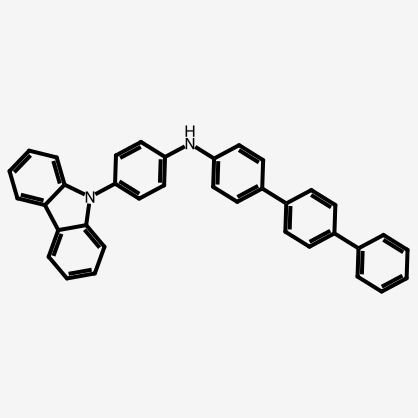 c1ccc(-c2ccc(-c3ccc(Nc4ccc(-n5c6ccccc6c6ccccc65)cc4)cc3)cc2)cc1